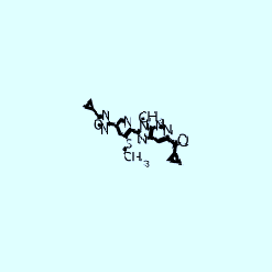 CCSc1cc(-c2noc(C3CC3)n2)cnc1-c1nc2cc(C(=O)C3CC3)nnc2n1C